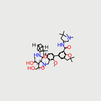 COc1c(CN2O[C@@H](CO)[C@@H]([C@H](C)O)[C@H]2C(=O)NC2C[C@H]3C[C@@H]([C@@H]2C)C3(C)C)cccc1-c1cc2c(c(C(=O)N[C@H](CN(C)C)CC(C)(C)C)c1)OC(C)(C)C2